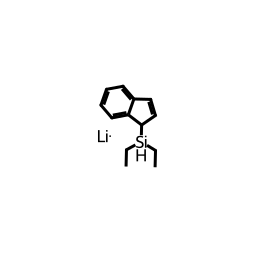 CC[SiH](CC)C1C=Cc2ccccc21.[Li]